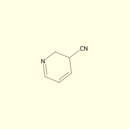 N#CC1C=CC=NC1